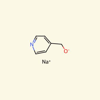 [Na+].[O-]Cc1ccncc1